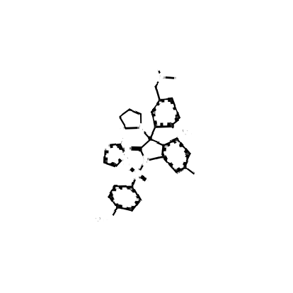 CCN(C)Cc1ccc(OC)c(C2(N3CCC[C@H]3c3ncco3)C(=O)N(S(=O)(=O)c3ccc(OC)cc3)c3cc(Cl)ccc32)c1